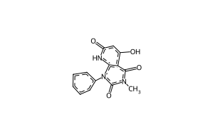 Cn1c(=O)c2c(O)cc(=O)[nH]c2n(-c2ccccc2)c1=O